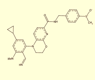 CNc1cc(C2CC2)cc(N2CCOc3nc(C(=O)NCc4ccc([S+](C)[O-])cc4)ccc32)c1C=N